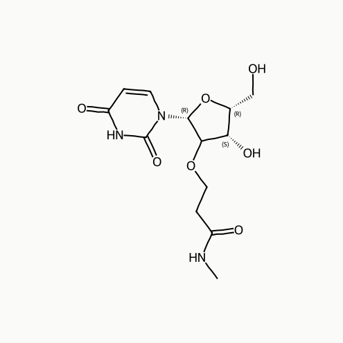 CNC(=O)CCOC1[C@@H](O)[C@@H](CO)O[C@H]1n1ccc(=O)[nH]c1=O